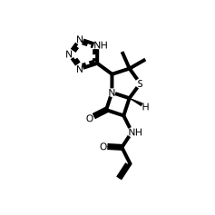 C=CC(=O)NC1C(=O)N2C(c3nnn[nH]3)C(C)(C)S[C@H]12